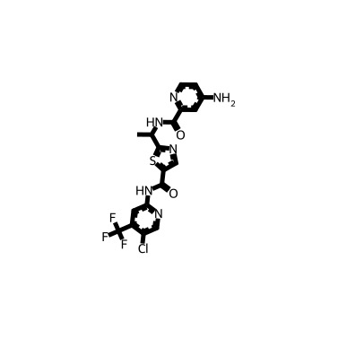 CC(NC(=O)c1cc(N)ccn1)c1ncc(C(=O)Nc2cc(C(F)(F)F)c(Cl)cn2)s1